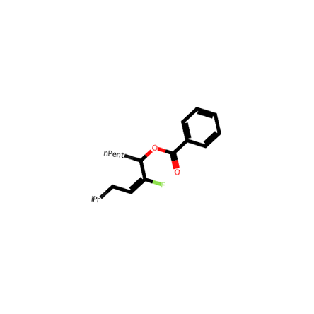 CCCCCC(OC(=O)c1ccccc1)/C(F)=C\CC(C)C